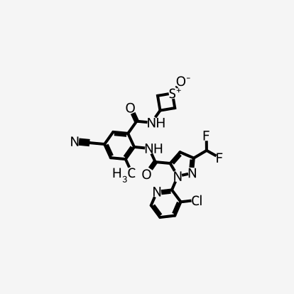 Cc1cc(C#N)cc(C(=O)NC2C[S+]([O-])C2)c1NC(=O)c1cc(C(F)F)nn1-c1ncccc1Cl